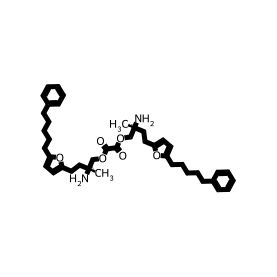 C[C@@](N)(CCc1ccc(CCCCCc2ccccc2)o1)COC(=O)C(=O)OC[C@](C)(N)CCc1ccc(CCCCCc2ccccc2)o1